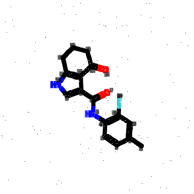 Cc1ccc(NC(=O)c2c[nH]c3c2C(=O)CCC3)c(F)c1